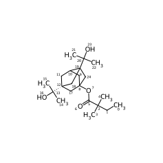 CCC(C)(C)C(=O)OC12CC3C[C@](C(C)(C)O)(C1)CC3(C(C)(C)O)C2